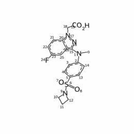 CN(c1ccc(S(=O)(=O)N2CCC2)cc1)c1nn(CC(=O)O)c2ccc(F)cc12